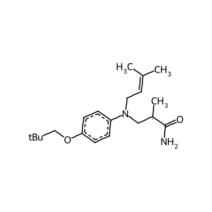 C[C](CN(CC=C(C)C)c1ccc(OCC(C)(C)C)cc1)C(N)=O